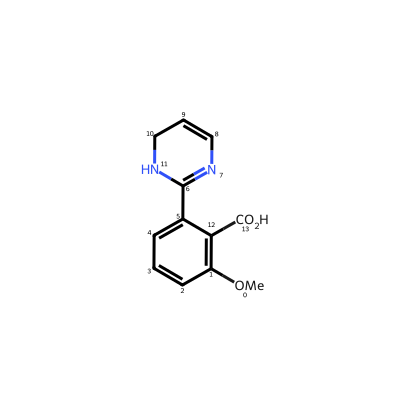 COc1cccc(C2=NC=CCN2)c1C(=O)O